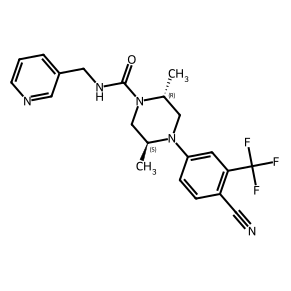 C[C@@H]1CN(c2ccc(C#N)c(C(F)(F)F)c2)[C@@H](C)CN1C(=O)NCc1cccnc1